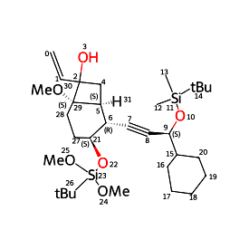 C=CC1(O)C[C@H]2[C@H](C#C[C@@H](O[Si](C)(C)C(C)(C)C)C3CCCCC3)[C@@H](O[Si](OC)(OC)C(C)(C)C)CC[C@]21OC